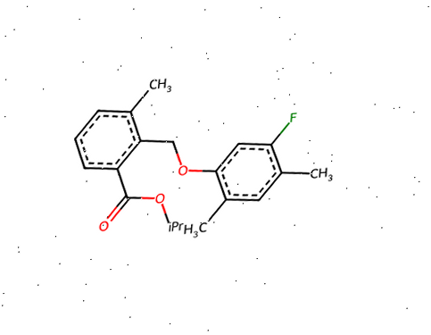 Cc1cc(C)c(OCc2c(C)cccc2C(=O)OC(C)C)cc1F